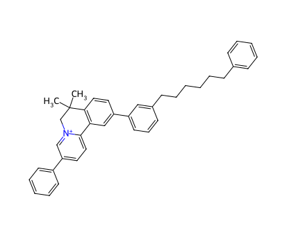 CC1(C)C[n+]2cc(-c3ccccc3)ccc2-c2cc(-c3cccc(CCCCCCc4ccccc4)c3)ccc21